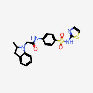 CC1Cc2ccccc2N1CC(=O)Nc1ccc(S(=O)(=O)Nc2nccs2)cc1